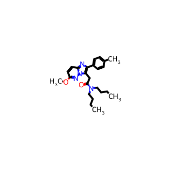 CCCCN(CCCC)C(=O)Cc1c(-c2ccc(C)cc2)nc2ccc(OC)nn12